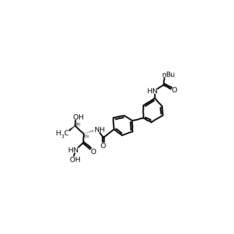 CCCCC(=O)Nc1cccc(-c2ccc(C(=O)N[C@H](C(=O)NO)[C@@H](C)O)cc2)c1